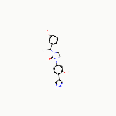 COc1cccc(C(C)N2CCN(c3ccc(-c4cn[nH]c4)c(OC)c3)C2=O)c1